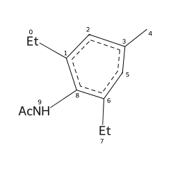 CCc1cc(C)cc(CC)c1NC(C)=O